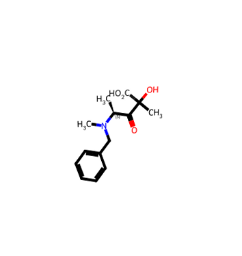 C[C@@H](C(=O)C(C)(O)C(=O)O)N(C)Cc1ccccc1